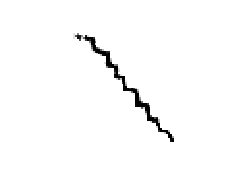 CCCC/C=C/CCCCCCCCCCBr